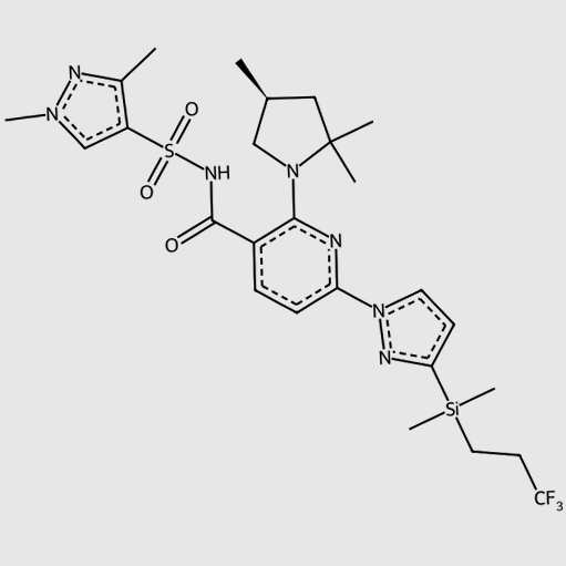 Cc1nn(C)cc1S(=O)(=O)NC(=O)c1ccc(-n2ccc([Si](C)(C)CCC(F)(F)F)n2)nc1N1C[C@@H](C)CC1(C)C